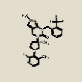 Cc1cccc(F)c1N1CC[C@](C)(N2Cc3cn(C)nc3N(Cc3ccccc3C(F)(F)F)C2=O)C1